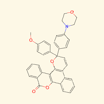 COc1ccc(C2(c3ccc(N4CCOCC4)cc3)C=Cc3c(c4c5ccccc5c(=O)oc4c4ccccc34)O2)cc1